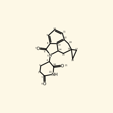 O=C1CCC(N2C(=O)c3cccc4c3C2CC2(CC2)C4)C(=O)N1